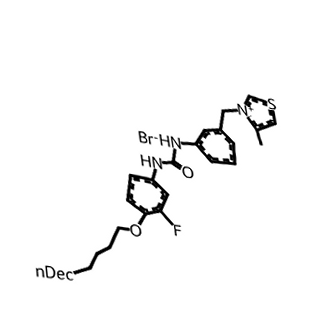 CCCCCCCCCCCCCCOc1ccc(NC(=O)Nc2cccc(C[n+]3cscc3C)c2)cc1F.[Br-]